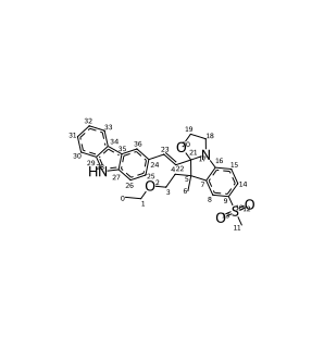 CCOCCC1(C)c2cc(S(C)(=O)=O)ccc2N2CCOC21C=Cc1ccc2[nH]c3ccccc3c2c1